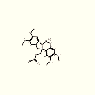 COc1ccc(C[C@]2(CCC(N)=O)c3cc(OC)c(OC)cc3CCN2C)cc1OC.I